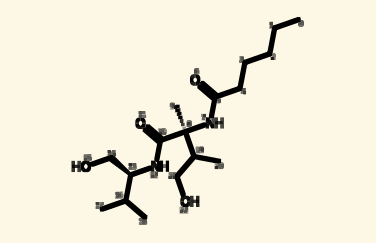 CCCCCC(=O)N[C@](C)(C(=O)N[C@H](CO)C(C)C)C(C)CO